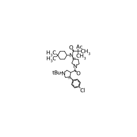 CC(=O)C(C)(C)C(=O)N(C1CCC(C)(C)CC1)[C@H]1CCN(C(=O)C2CN(C(C)(C)C)C[C@@H]2c2ccc(Cl)cc2)C1